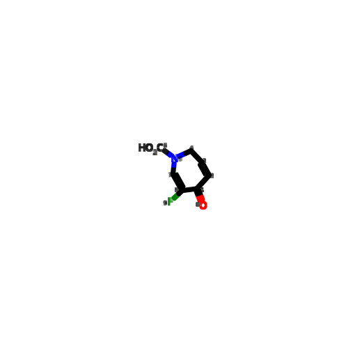 O=C1C=CCN(C(=O)O)C=C1F